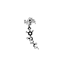 CCC(=O)NC[C@H]1CN(c2cc(F)c(N3CC(=NO[Si](C)(C)C(C)(C)C)C3)c(F)c2)C(=O)O1